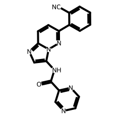 N#Cc1ccccc1-c1ccc2ncc(NC(=O)c3cnccn3)n2n1